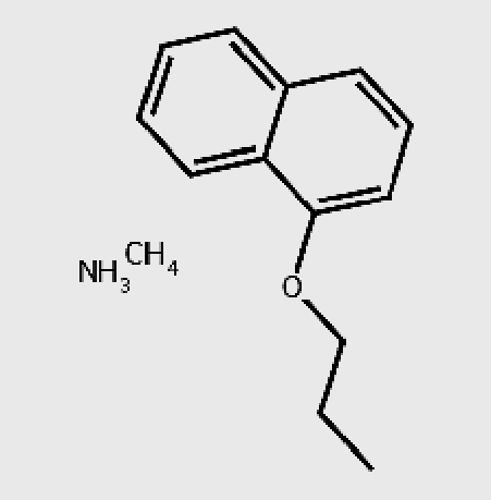 C.CCCOc1cccc2ccccc12.N